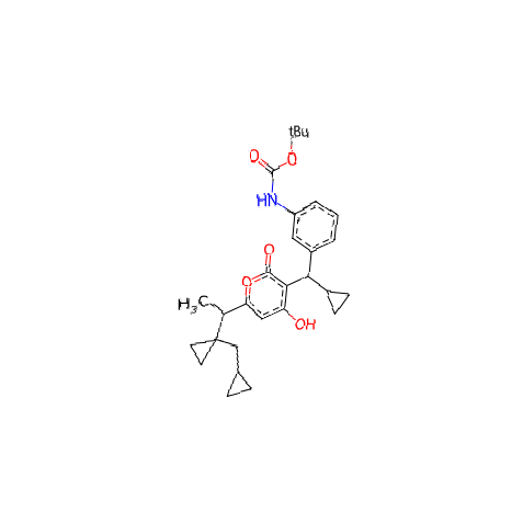 CC(c1cc(O)c(C(c2cccc(NC(=O)OC(C)(C)C)c2)C2CC2)c(=O)o1)C1(CC2CC2)CC1